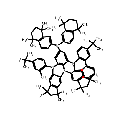 Cc1cc(C(C)(C)C)ccc1N1c2cc3c(cc2B2c4cc5c(cc4N(c4ccc(C(C)(C)C)cc4-c4ccccc4)c4cc(N(c6ccc7c(c6)C(C)(C)CCC7(C)C)c6ccc7c(c6)C(C)(C)CCC7(C)C)cc1c42)C(C)(C)CC5(C)C)C(C)(C)CC3(C)C